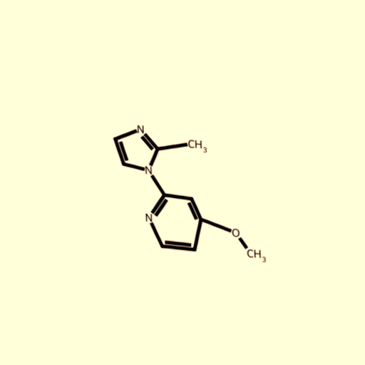 COc1ccnc(-n2ccnc2C)c1